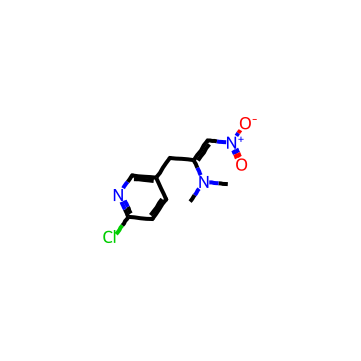 CN(C)C(=C[N+](=O)[O-])Cc1ccc(Cl)nc1